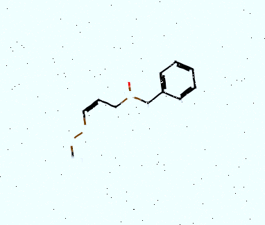 CCCSS/C=C\C[S+]([O-])Cc1ccccc1